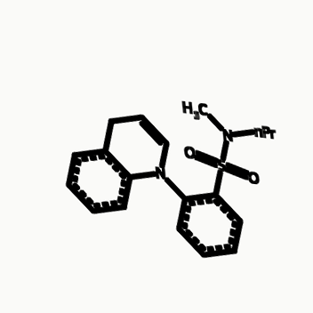 CCCN(C)S(=O)(=O)c1ccccc1N1C=CCc2ccccc21